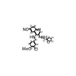 COc1ccc(CNc2c(CNC[C@@H]3CCCO3)cnc3ccc(C#N)cc23)cc1Cl